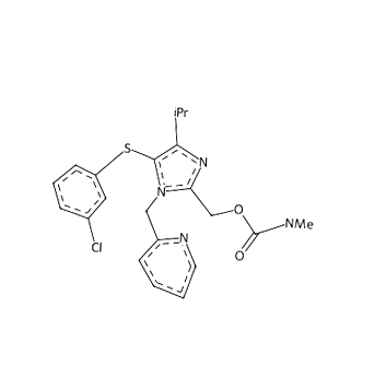 CNC(=O)OCc1nc(C(C)C)c(Sc2cccc(Cl)c2)n1Cc1ccccn1